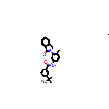 Cc1ccc(NC(=O)c2cccc(C(C)(C)C#N)c2)cc1N1Cc2ccccc2C1=O